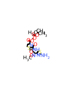 CO/N=C(\C(=O)NC1C(=O)N2C(C(=O)OCOC(=O)OC(C)(C)C)=CCS[C@H]12)c1csc(N)n1